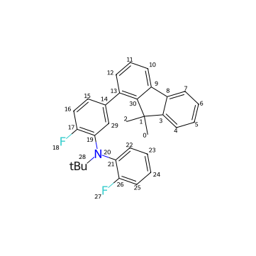 CC1(C)c2ccccc2-c2cccc(-c3ccc(F)c(N(c4ccccc4F)C(C)(C)C)c3)c21